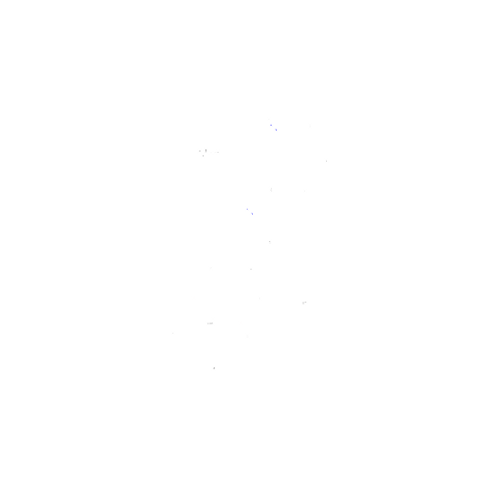 COc1ncccc1NC=C1C(=O)OC(C)(C)OC1=O